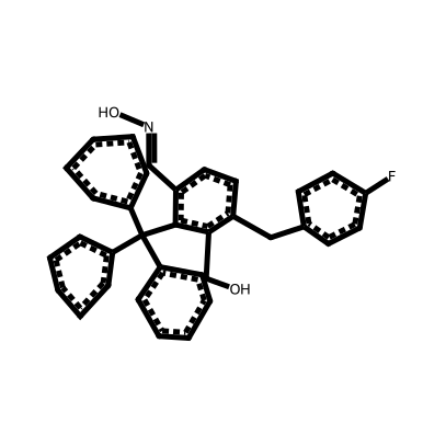 OCc1c(Cc2ccc(F)cc2)ccc(C=NO)c1C(c1ccccc1)(c1ccccc1)c1ccccc1